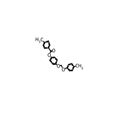 Cc1ccc(OCOc2ccc(OC(=O)c3ccc(C)cc3)cc2)cc1